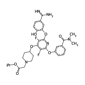 CC(C)OC(=O)CN1CCC(Oc2c(F)c(Oc3cccc(C(=O)N(C)C)c3)nc(Oc3cc(C(=N)N)ccc3O)c2F)CC1